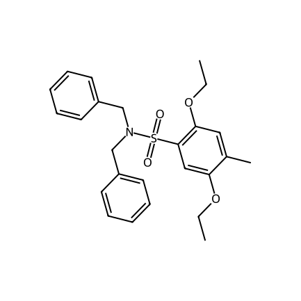 CCOc1cc(S(=O)(=O)N(Cc2ccccc2)Cc2ccccc2)c(OCC)cc1C